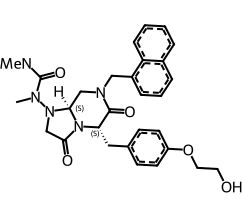 CNC(=O)N(C)N1CC(=O)N2[C@@H](Cc3ccc(OCCO)cc3)C(=O)N(Cc3cccc4ccccc34)C[C@@H]21